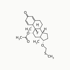 CSCO[C@H]1CC[C@H]2[C@@H]3CCC4=CC(=O)C=C[C@]4(C)[C@@]3(F)[C@@H](OC(C)=O)C[C@]12C